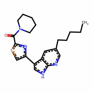 CCCCCc1cnc2[nH]cc(-c3csc(C(=O)N4CCCCC4)n3)c2c1